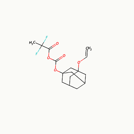 C=COC12CC3CC(C1)CC(OC(=O)OC(=O)C(C)(F)F)(C3)C2